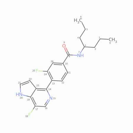 CCCC(CCC)NC(=O)c1ccc(-c2ncc(F)c3[nH]ccc23)c(F)c1